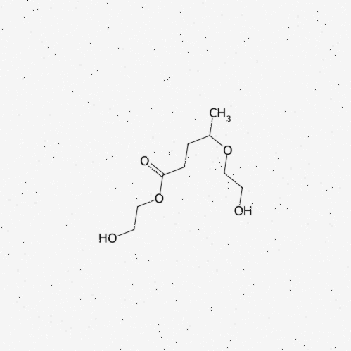 CC(CCC(=O)OCCO)OCCO